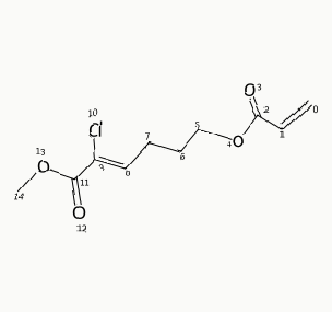 C=CC(=O)OCCCC=C(Cl)C(=O)OC